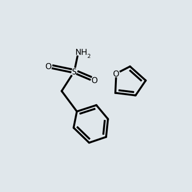 NS(=O)(=O)Cc1ccccc1.c1ccoc1